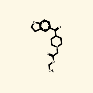 CCOC(=O)CN1CCC(C(=O)c2ccc3c(c2)CCO3)CC1